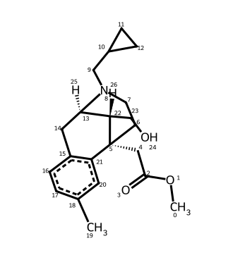 COC(=O)C[C@]12CCN(CC3CC3)[C@H](Cc3ccc(C)cc31)[C@@H]2CO